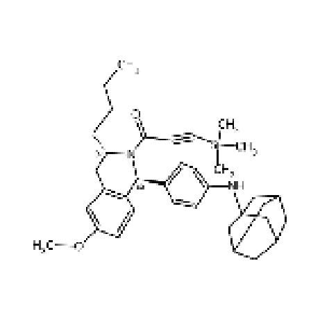 CCCC[C@H]1Cc2cc(OC)ccc2[C@H](c2ccc(NC34CC5CC(CC(C5)C3)C4)cc2)N1C(=O)C#C[Si](C)(C)C